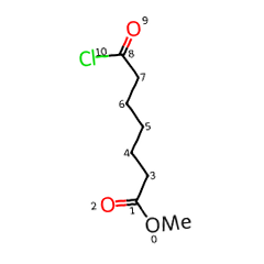 COC(=O)CCCCCC(=O)Cl